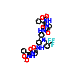 COC(=O)N[C@@H](C(=O)N1CCC[C@H]1C(=O)Nc1ccc2c3ccc(NC(=O)[C@@H]4CCCN4C(=O)[C@H](NC(=O)OC)c4ccccc4)cc3n(Cc3ccccc3C(F)(F)F)c2c1)c1ccccc1